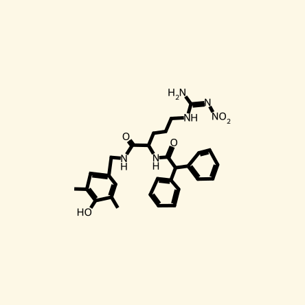 Cc1cc(CNC(=O)C(CCCN/C(N)=N\[N+](=O)[O-])NC(=O)C(c2ccccc2)c2ccccc2)cc(C)c1O